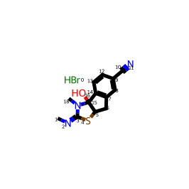 Br.CN=C1SC2Cc3cc(C#N)ccc3C2(O)N1C